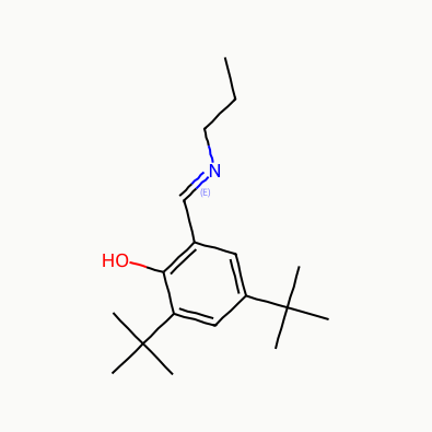 CCC/N=C/c1cc(C(C)(C)C)cc(C(C)(C)C)c1O